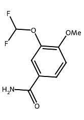 COc1ccc(C(N)=O)cc1OC(F)F